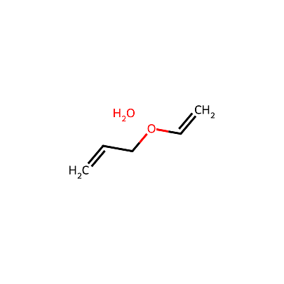 C=CCOC=C.O